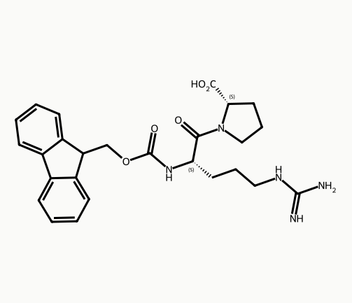 N=C(N)NCCC[C@H](NC(=O)OCC1c2ccccc2-c2ccccc21)C(=O)N1CCC[C@H]1C(=O)O